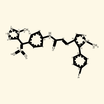 Cn1nnnc1C(c1ccc(NC(=O)C=Cc2cnn(C)c2-c2ccc(F)cc2)cc1)=S(=O)=O